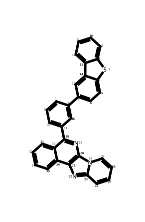 c1cc(-c2ccc3sc4ccccc4c3c2)cc(-c2nc3c(nc4ccccn43)c3ccccc23)c1